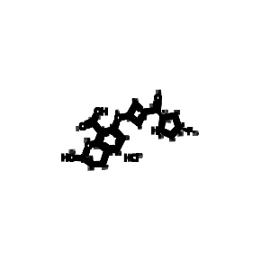 Cl.O=C(O)c1c(OC2CN(C(=O)[C@@H]3C[C@H](F)CN3)C2)ccc2c1OB(O)CC2